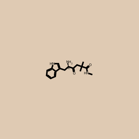 CNC(=O)C(C)(C)CC(=O)[C@H](N)Cc1c[nH]c2ccccc12